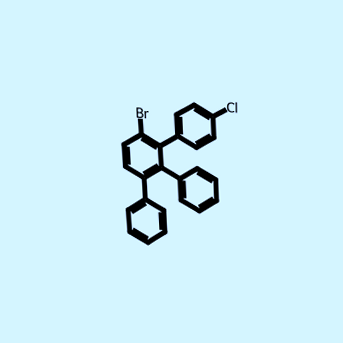 Clc1ccc(-c2c(Br)ccc(-c3ccccc3)c2-c2ccccc2)cc1